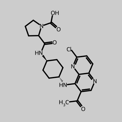 CC(=O)c1cnc2ccc(Cl)nc2c1N[C@H]1CC[C@H](NC(=O)C2CCCN2C(=O)O)CC1